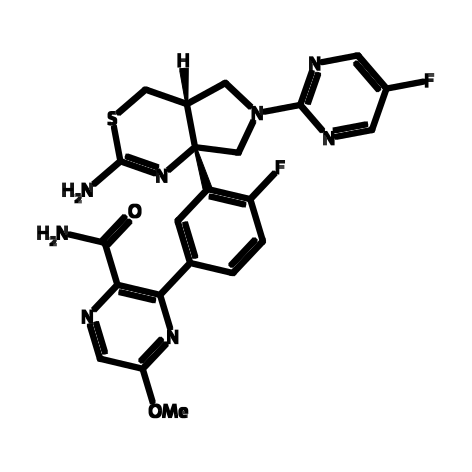 COc1cnc(C(N)=O)c(-c2ccc(F)c([C@]34CN(c5ncc(F)cn5)C[C@H]3CSC(N)=N4)c2)n1